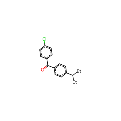 CCC(CC)c1ccc(C(=O)c2ccc(Cl)cc2)cc1